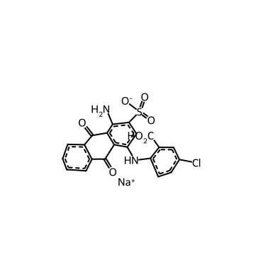 Nc1c(S(=O)(=O)[O-])cc(Nc2ccc(Cl)cc2C(=O)O)c2c1C(=O)c1ccccc1C2=O.[Na+]